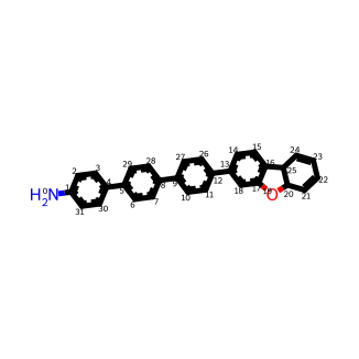 Nc1ccc(-c2ccc(-c3ccc(-c4ccc5c(c4)OC4C=CC=CC54)cc3)cc2)cc1